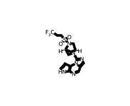 O=S(=O)(CCC(F)(F)F)N1C[C@@H]2C[C@H]1CN2c1ncc2cnc3[nH]ccc3n12